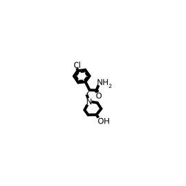 NC(=O)[C@H](CN1CCC(O)CC1)c1ccc(Cl)cc1